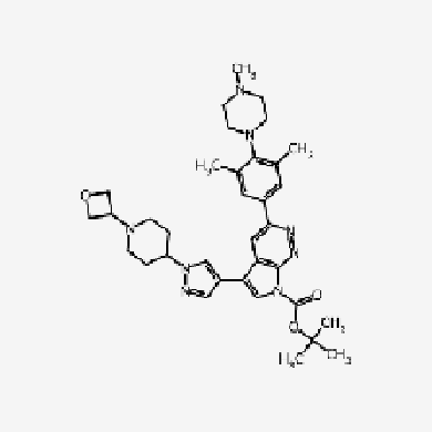 Cc1cc(-c2cc3c(-c4cnn(C5CCN(C6COC6)CC5)c4)cn(C(=O)OC(C)(C)C)c3nn2)cc(C)c1N1CCN(C)CC1